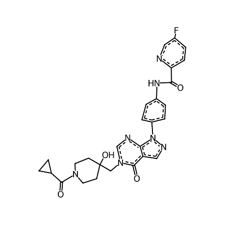 O=C(Nc1ccc(-n2ncc3c(=O)n(CC4(O)CCN(C(=O)C5CC5)CC4)cnc32)cc1)c1ccc(F)cn1